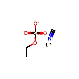 C#N.CCOS(=O)(=O)[O-].[Li+]